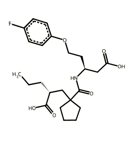 CCC[C@H](CC1(C(=O)N[C@@H](CCOc2ccc(F)cc2)CC(=O)O)CCCC1)C(=O)O